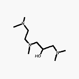 CN(C)CCN(C)CC(O)CN(C)C